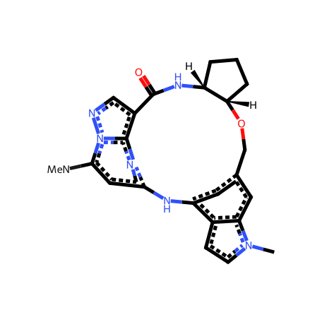 CNc1cc2nc3c(cnn13)C(=O)N[C@@H]1CCC[C@@H]1OCc1cc(c3ccn(C)c3c1)N2